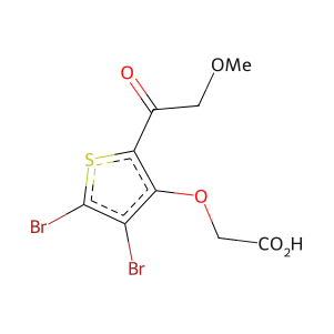 COCC(=O)c1sc(Br)c(Br)c1OCC(=O)O